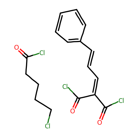 O=C(Cl)C(=CC=Cc1ccccc1)C(=O)Cl.O=C(Cl)CCCCCl